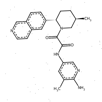 Cc1cc(NC(=O)C(=O)N2C[C@H](C)CC[C@H]2c2ccc3cnccc3c2)cnc1N